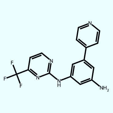 Nc1cc(Nc2nccc(C(F)(F)F)n2)cc(-c2ccncc2)c1